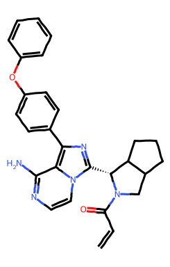 C=CC(=O)N1CC2CCCC2[C@H]1c1nc(-c2ccc(Oc3ccccc3)cc2)c2c(N)nccn12